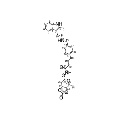 Cc1[nH]c2ccccc2c1CCNCc1ccc(C/C=C/C(=O)NO[C@H]2CC3OC(=O)OC3[C@H](C)O2)cc1